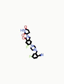 N#Cc1ccc(F)cc1CN1CCN(c2cc3c(cc2F)C(=O)N(C2CCC(=O)NC2=O)C3)CC1